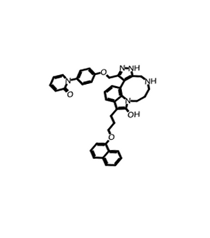 O=c1ccccn1-c1ccc(OCc2n[nH]c3c2-c2cccc4c(CCCOc5cccc6ccccc56)c(O)n(c24)CCCNC3)cc1